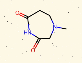 CN1CCC(=O)NC(=O)C1